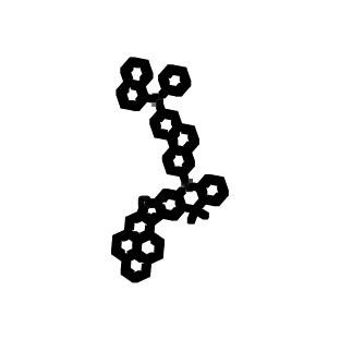 CC1(C)c2ccccc2N(c2ccc3c(ccc4cc(N(c5ccccc5)c5cccc6ccccc56)ccc43)c2)c2cc3oc4cc5ccc6cccc7ccc(c4c3cc21)c5c67